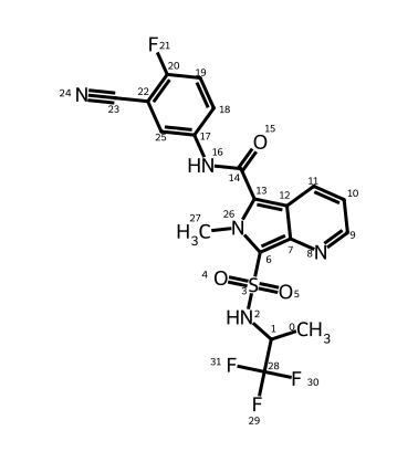 CC(NS(=O)(=O)c1c2ncccc2c(C(=O)Nc2ccc(F)c(C#N)c2)n1C)C(F)(F)F